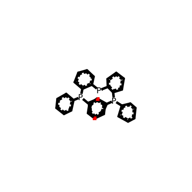 c1ccc(P(c2ccccc2)c2ccccc2[P]c2ccccc2P(c2ccccc2)c2ccccc2)cc1